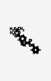 CC(C)(C)OC(=O)N1CCn2c(nnc2C(=O)OCc2ccccc2)C1